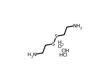 Cl.Cl.NCCSSCCN.O